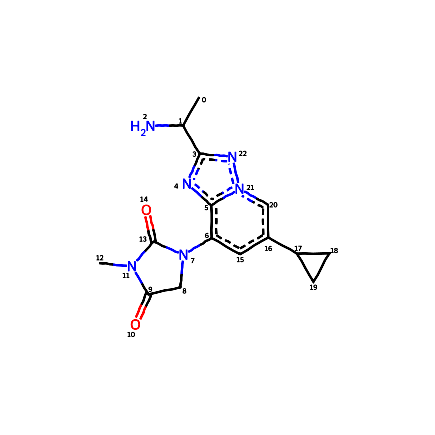 CC(N)c1nc2c(N3CC(=O)N(C)C3=O)cc(C3CC3)cn2n1